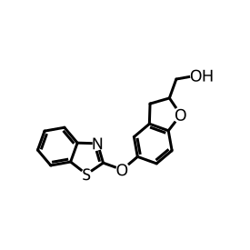 OCC1Cc2cc(Oc3nc4ccccc4s3)ccc2O1